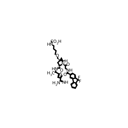 CC(NC(=O)[C@@H]1C[C@]2(COCCCCNC(=O)O)C[C@@H]2N1C(=O)CNC(=O)c1ccc2c(c1)-c1ccccc1C2(F)F)c1cc(C(=N)N)cs1